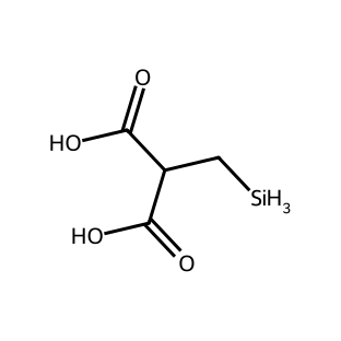 O=C(O)C(C[SiH3])C(=O)O